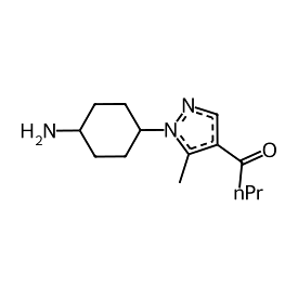 CCCC(=O)c1cnn(C2CCC(N)CC2)c1C